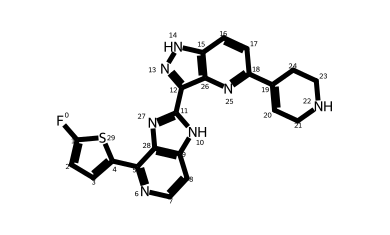 Fc1ccc(-c2nccc3[nH]c(-c4n[nH]c5ccc(C6=CCNCC6)nc45)nc23)s1